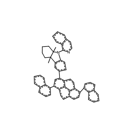 CC12CCCCC1(C)N(c1nccc3ccccc13)c1ccc(-c3cc(-c4cccc5ccccc45)c4ccc5ccc(-c6cccc7ccccc67)c6ccc3c4c56)cc12